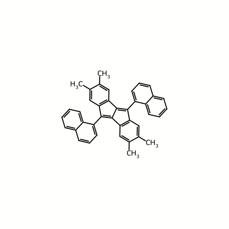 Cc1cc2c(cc1C)C(c1cccc3ccccc13)=C1C2=C(c2cccc3ccccc23)c2cc(C)c(C)cc21